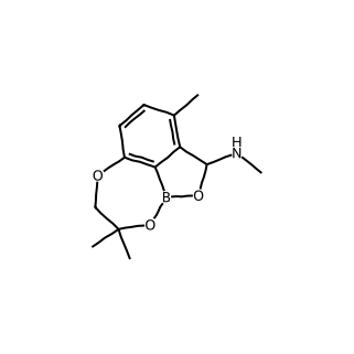 CNC1OB2OC(C)(C)COc3ccc(C)c1c32